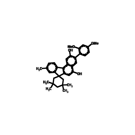 COc1ccc(-c2cc3c(O)cc4c(c3cc2O)-c2ccc(C)cc2C42CC(C)(C)CC(C)(C)C2)c(OC)c1